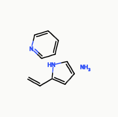 C=Cc1ccc[nH]1.N.c1ccncc1